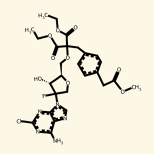 CCOC(=O)C(Cc1ccc(CC(=O)OC)cc1)(OC[C@H]1OCC(F)(n2cnc3c(N)nc(Cl)nc32)[C@@H]1O)C(=O)OCC